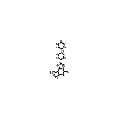 Cc1nc2nc[nH]c2c2nc(-c3ccc(-c4ccccc4)cc3)nn12